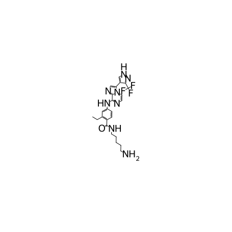 CCc1cc(Nc2nccn3c(-c4c[nH]nc4C(F)(F)F)cnc23)ccc1C(=O)NCCCCCN